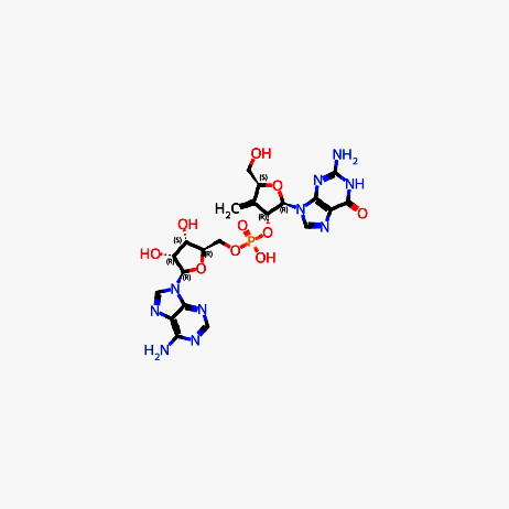 C=C1[C@@H](OP(=O)(O)OC[C@H]2O[C@@H](n3cnc4c(N)ncnc43)[C@H](O)[C@@H]2O)[C@H](n2cnc3c(=O)[nH]c(N)nc32)O[C@@H]1CO